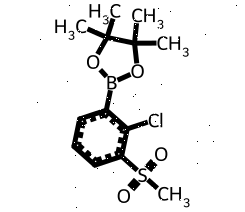 CC1(C)OB(c2cccc(S(C)(=O)=O)c2Cl)OC1(C)C